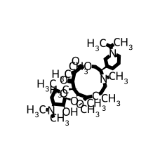 CO[C@]1(C)C[C@@H](C)CN(C)[C@H](C2CCCN(C(C)C)C2)COC(=O)C(C)(C)C(=O)[C@H](C)[C@H]1O[C@@H]1O[C@H](C)C[C@H](N(C)C)[C@H]1O